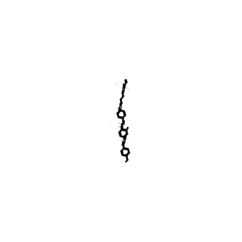 C=CC(=O)OCCCCOc1ccc(C(=O)Nc2ccc(OC(=O)c3ccc(CC)cc3)cc2C)cc1